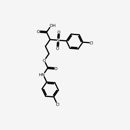 O=C(Nc1ccc(Cl)cc1)OCCC(C(=O)O)S(=O)(=O)c1ccc(Cl)cc1